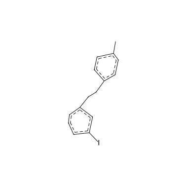 Cc1ccc(CCc2cccc(I)c2)cc1